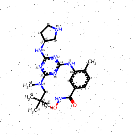 Cc1ccc(C(=O)NO)cc1Nc1nc(N[C@H]2CCNC2)nc(N(C)CC(C)(C)C)n1